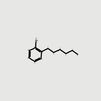 CCCCCCc1[c]cccc1Br